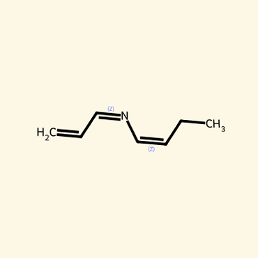 C=C/C=N\C=C/CC